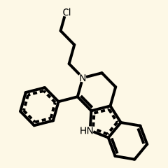 ClCCCN1CCc2c3c([nH]c2=C1c1ccccc1)=CCC=C3